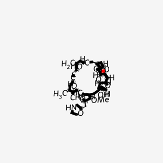 C=C1C[C@@H]2CC[C@@]34C[C@H]5OC6[C@@H](O[C@H]7CC[C@H](CC(O)C[C@@H]8[C@@H](OC)[C@@H](C[C@H]9CNCCO9)O[C@H]8C[C@H]8O[C@@H](CC[C@@H]1O2)C[C@@H](C)C8=C)O[C@@H]7[C@@H]6O3)[C@H]5O4